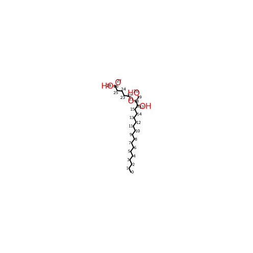 CCCCCCCCCCCCCCCC[C@@H](O)[C@H](CO)OCCCCC(=O)O